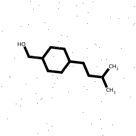 CC(C)CCC1CCC(CO)CC1